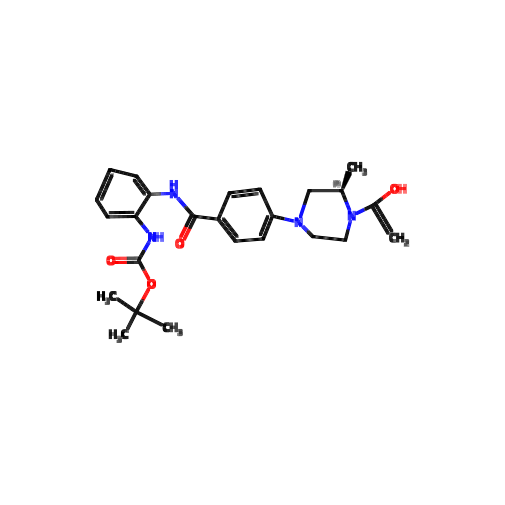 C=C(O)N1CCN(c2ccc(C(=O)Nc3ccccc3NC(=O)OC(C)(C)C)cc2)C[C@H]1C